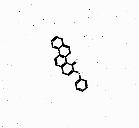 O=C1C(Nc2ccccc2)=CCc2ccc3c(c21)CC=C1CC=CC=C13